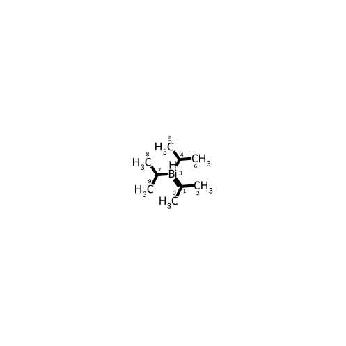 C[C](C)=[BiH]([CH](C)C)[CH](C)C